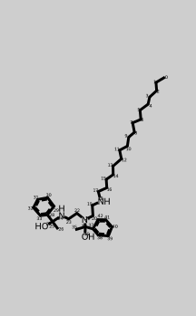 CCCCCCCCCCCCCCCCCCNCCN(CCNC(C)(O)c1ccccc1)C(C)(O)c1ccccc1